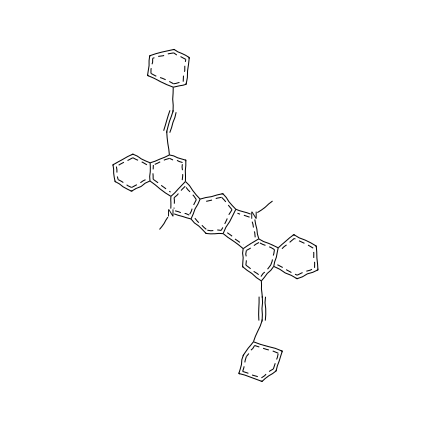 Cn1c2cc3c4cc(C#Cc5ccccc5)c5ccccc5c4n(C)c3cc2c2cc(C#Cc3ccccc3)c3ccccc3c21